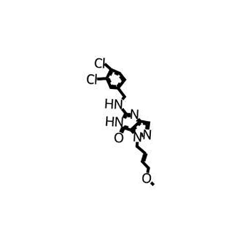 COCC=CCn1ncc2nc(NCc3ccc(Cl)c(Cl)c3)[nH]c(=O)c21